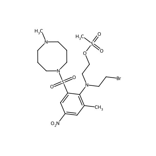 Cc1cc([N+](=O)[O-])cc(S(=O)(=O)N2CCCN(C)CCC2)c1N(CCBr)CCOS(C)(=O)=O